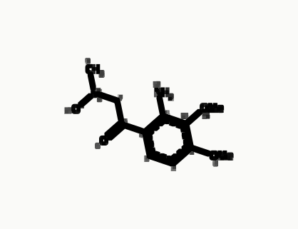 COc1ccc(C(=O)C[S+](C)[O-])c(N)c1OC